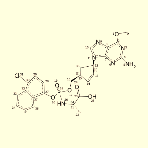 COc1nc(N)nc2c1ncn2[C@H]1C=C[C@@H](COP(=O)(N[C@@H](C)C(=O)O)Oc2ccc(Cl)c3ccccc23)C1